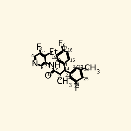 CCc1c(F)cncc1NC(=O)[C@@H](C)[C@@H](c1ccc(F)cc1)c1cc(C)cc(F)c1